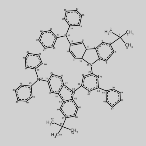 CC(C)(C)c1ccc2c(c1)C1C=C(N(c3ccccc3)c3ccccc3)C=CC1N2c1cc(-n2c3ccc(N(c4ccccc4)c4ccccc4)cc3c3cc(C(C)(C)C)ccc32)nc(-c2ccccc2)n1